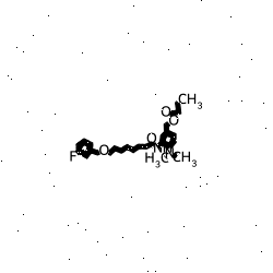 CCCC(=O)OCc1ccc(N(C)C)c(NC(=O)CCCCCCCOCc2cccc(F)c2)c1